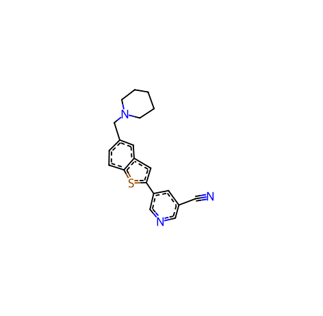 N#Cc1cncc(-c2cc3cc(CN4CCCCC4)ccc3s2)c1